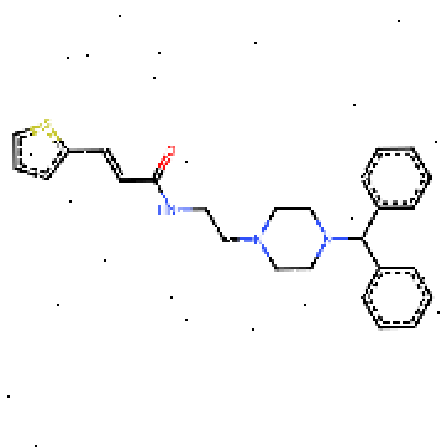 O=C(C=Cc1cccs1)NCCN1CCN(C(c2ccccc2)c2ccccc2)CC1